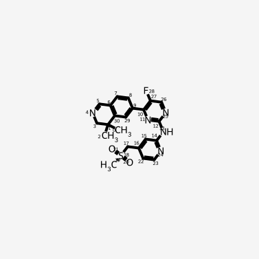 CC1(C)CN=Cc2ccc(-c3nc(Nc4cc(CS(C)(=O)=O)ccn4)ncc3F)cc21